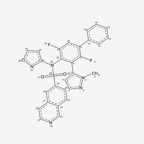 Cn1nccc1-c1c(F)c(-c2ccccc2)cc(F)c1N(c1ccon1)S(=O)(=O)c1ccc2cnccc2c1